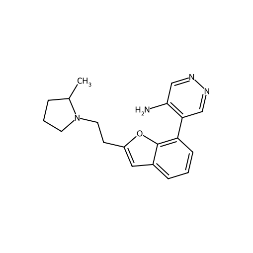 CC1CCCN1CCc1cc2cccc(-c3cnncc3N)c2o1